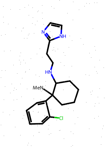 CNC1(c2ccccc2Cl)CCCCC1NCCc1ncc[nH]1